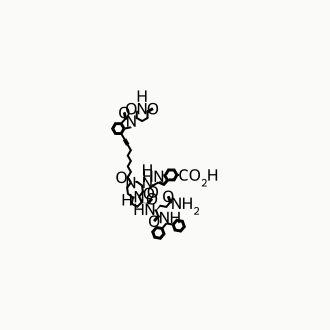 NC(=O)CC[C@H](NC(=O)[C@@H]1CC[C@@H]2CCN(C(=O)CCCCCC#Cc3cccc4c3CN(C3CCC(=O)NC3=O)C4=O)C[C@H](NC(=O)c3cc4cc(C(=O)O)ccc4[nH]3)C(=O)N21)C(=O)NC(c1ccccc1)c1ccccc1